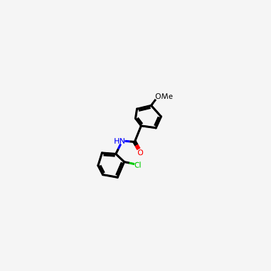 COc1ccc(C(=O)Nc2ccccc2Cl)cc1